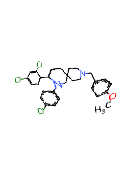 COc1ccc(CN2CCC3(CC[C@H](C4CC=C(Cl)C=C4Cl)N(c4ccc(Cl)cc4)C3)CC2)cc1